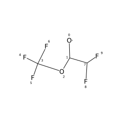 [O]C(OC(F)(F)F)C(F)F